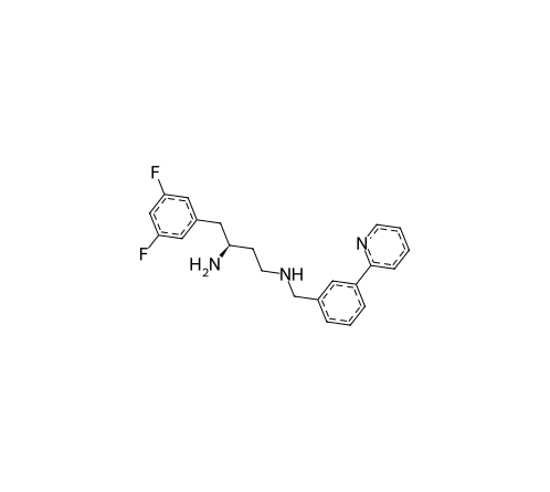 N[C@H](CCNCc1cccc(-c2ccccn2)c1)Cc1cc(F)cc(F)c1